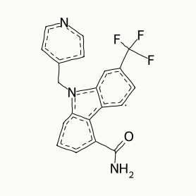 NC(=O)c1cccc2c1c1[c]cc(C(F)(F)F)cc1n2Cc1ccncc1